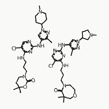 Cc1nn(C2CCN(C)C2)cc1Nc1ncc(Cl)c(NCCCN2CCOCC(C)(C)C2=O)n1.Cc1nn(C2CCN(C)CC2)cc1Nc1ncc(Cl)c(NCCCN2CCC(C)(C)OC2=O)n1